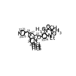 CCN1C(=O)C(C)(C)C(=O)N(C)c2cc(OCCCN(Cc3ccncc3)Cc3cccnc3)ccc21.Cl.Cl.Cl